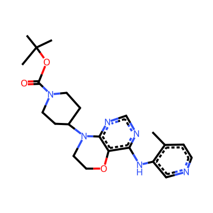 Cc1ccncc1Nc1ncnc2c1OCCN2C1CCN(C(=O)OC(C)(C)C)CC1